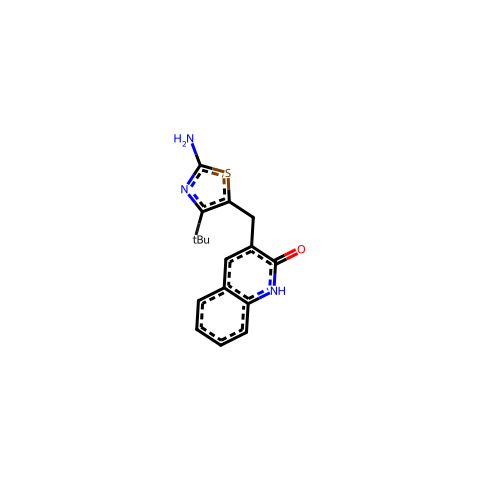 CC(C)(C)c1nc(N)sc1Cc1cc2ccccc2[nH]c1=O